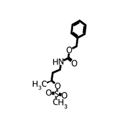 C[C@@H](CCNC(=O)OCc1ccccc1)OS(C)(=O)=O